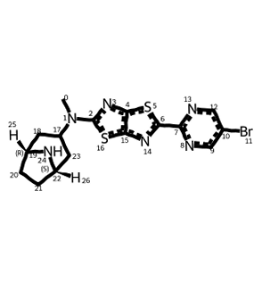 CN(c1nc2sc(-c3ncc(Br)cn3)nc2s1)C1C[C@H]2CC[C@@H](C1)N2